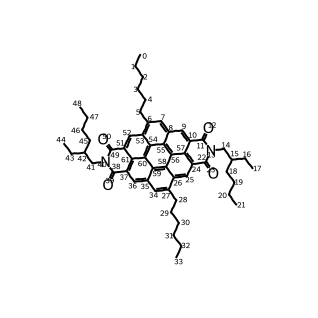 CCCCCCc1cc2cc3c(=O)n(CC(CC)CCCC)c(=O)c4cc5c(CCCCCC)cc6cc7c(=O)n(CC(CC)CCCC)c(=O)c8cc1c1c2c(c34)c5c6c1c78